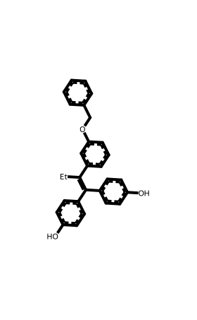 CCC(=C(c1ccc(O)cc1)c1ccc(O)cc1)c1cccc(OCc2ccccc2)c1